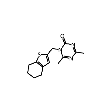 Cc1nc(C)n(Cc2cc3c(s2)CCCC3)c(=O)n1